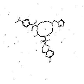 C[C@H]1CN(S(=O)(=O)c2ccc(N(C)C)cc2)CCCN(Cc2ccon2)CCCN(S(=O)(=O)N2CCc3cc(Cl)ccc3C2)C1